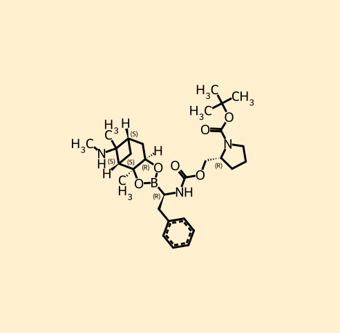 CNC1(C)[C@@H]2C[C@H]3OB([C@H](Cc4ccccc4)NC(=O)OC[C@H]4CCCN4C(=O)OC(C)(C)C)O[C@@]3(C)[C@H]1C2